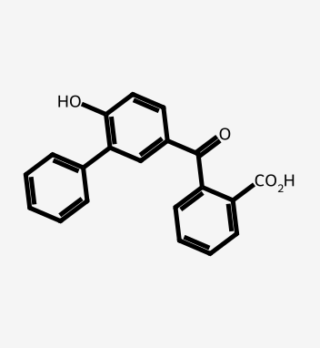 O=C(O)c1ccccc1C(=O)c1ccc(O)c(-c2ccccc2)c1